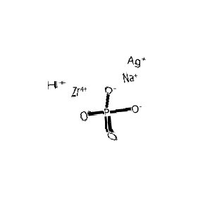 O=P([O-])([O-])[O-].[Ag+].[H+].[Na+].[Zr+4]